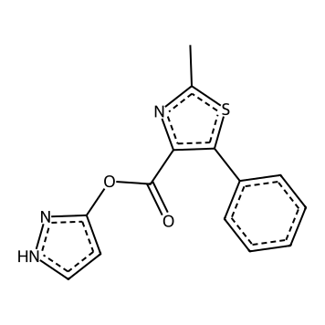 Cc1nc(C(=O)Oc2cc[nH]n2)c(-c2ccccc2)s1